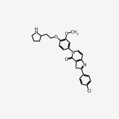 COc1cc(-n2ccc3nc(-c4ccc(Cl)cc4)sc3c2=O)ccc1OCCC1CCCN1